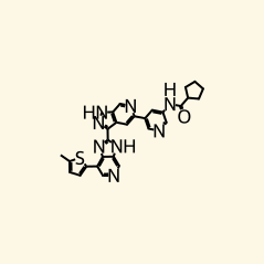 Cc1ccc(-c2cncc3[nH]c(-c4n[nH]c5cnc(-c6cncc(NC(=O)C7CCCC7)c6)cc45)nc23)s1